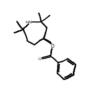 CC1(C)CCC(OC(=O)c2ccccc2)CC(C)(C)N1